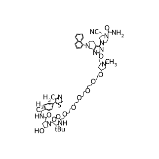 Cc1ncsc1-c1ccc([C@H](C)NC(=O)[C@@H]2C[C@@H](O)CN2C(=O)[C@@H](NC(=O)COCCOCCOCCOCCOCCO[C@@H]2C[C@@H](COc3nc4c(c(N5CCN(C(N)=O)[C@@H](CC#N)C5)n3)CCN(c3cccc5ccccc35)C4)N(C)C2)C(C)(C)C)cc1